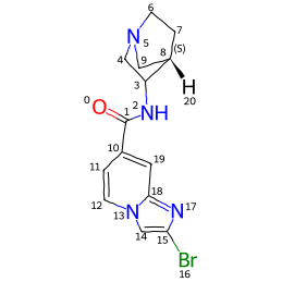 O=C(NC1CN2CC[C@H]1C2)c1ccn2cc(Br)nc2c1